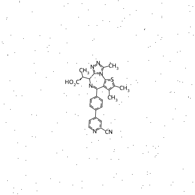 Cc1sc2c(c1C)C(c1ccc(-c3ccnc(C#N)c3)cc1)=NC([C@H](C)C(=O)O)c1nnc(C)n1-2